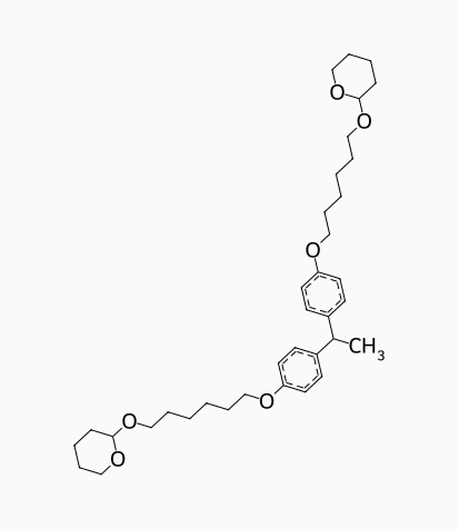 CC(c1ccc(OCCCCCCOC2CCCCO2)cc1)c1ccc(OCCCCCCOC2CCCCO2)cc1